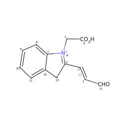 O=C/C=C/C1=[N+](CC(=O)O)c2ccccc2C1